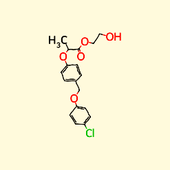 CC(Oc1ccc(COc2ccc(Cl)cc2)cc1)C(=O)OCCO